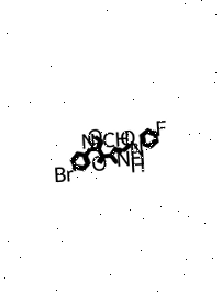 Cc1onc(-c2ccc(Br)cc2)c1C(=O)C1C=C(C(=O)Nc2ccc(F)cc2)NC1